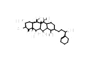 CC(=O)C1C(=O)C2(C)C(C)C3C(O)C4C(C)C(CCC(C)C5=CCCCC5)CCC4C(C)C3(C)C(C)C2(C)CC1C